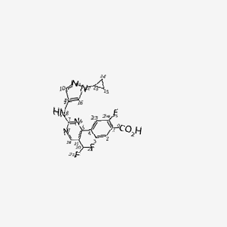 O=C(O)c1ccc(-c2nc(Nc3cnn(C4CC4)c3)ncc2C(F)F)cc1F